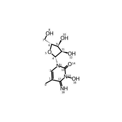 Cc1cn([C@@H]2O[C@H](CO)[C@@H](O)[C@H]2O)c(=O)n(O)c1=N